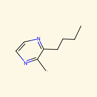 [CH2]c1nccnc1CCCC